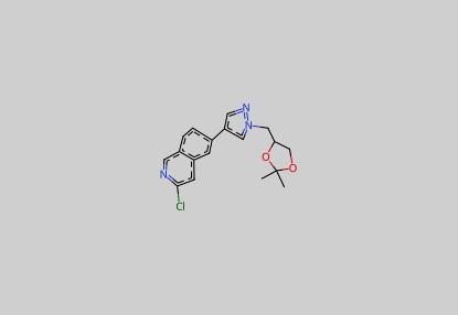 CC1(C)OCC(Cn2cc(-c3ccc4cnc(Cl)cc4c3)cn2)O1